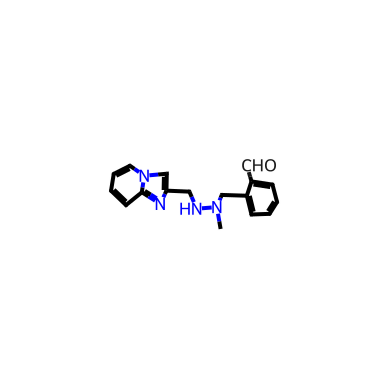 CN(Cc1ccccc1C=O)NCc1cn2ccccc2n1